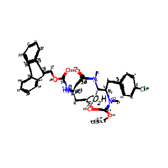 CN(C[C@@H](Cc1ccc(Cl)cc1)N(C)C(=O)OC(C)(C)C)C(=O)[C@@H](CC(=O)O)NC(=O)OCC1c2ccccc2-c2ccccc21